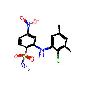 Cc1cc(C)c(Cl)c(Nc2cc([N+](=O)[O-])ccc2S(N)(=O)=O)c1